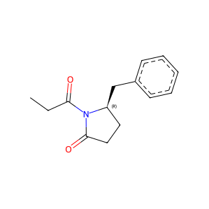 CCC(=O)N1C(=O)CC[C@@H]1Cc1ccccc1